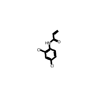 C=CC(=O)Nc1ccc(Cl)cc1Cl